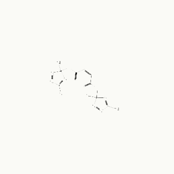 NC1=NC(N)(OC(=O)/C=C\C(=O)OC2(N)N=NC(N)=N2)N=N1